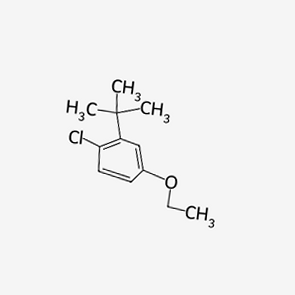 CCOc1ccc(Cl)c(C(C)(C)C)c1